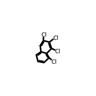 Clc1[c]c2cccc(Cl)c2c(Cl)c1Cl